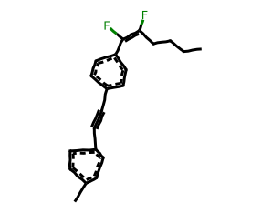 CCCC/C(F)=C(/F)c1ccc(C#Cc2ccc(C)cc2)cc1